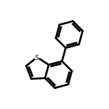 [c]1ccc2ccsc2c1-c1ccccc1